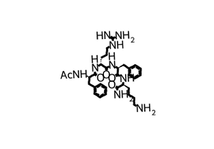 CC(=O)N[C@@H](Cc1ccccc1)C(=O)N[C@H](CCCNC(=N)N)C(=O)N[C@@H](Cc1ccccc1)C(=O)N[C@@H](CCCCN)C(N)=O